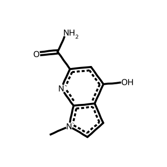 Cn1ccc2c(O)cc(C(N)=O)nc21